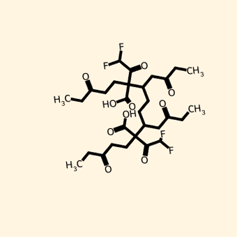 CCC(=O)CCC(C(=O)O)(C(=O)C(F)F)C(CCC(CC(=O)CC)C(CCC(=O)CC)(C(=O)O)C(=O)C(F)F)CC(=O)CC